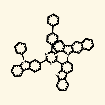 c1ccc(-c2ccc(-c3nc(-c4ccc5c6ccccc6n(-c6ccccc6)c5c4)nc(-c4c(-n5c6ccccc6c6cc7ccccc7cc65)ccc5c4oc4ccccc45)n3)cc2)cc1